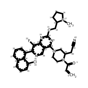 C=CC(=O)N1CCN(c2nc(OCC3CCCN3C)nc3c(F)c(-c4cccc5cccc(Cl)c45)ncc23)CC1CC#N